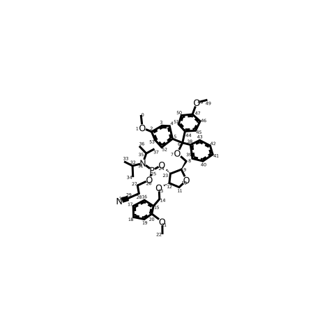 COc1ccc(C(OC[C@H]2OC[C@H](OCc3ccccc3OC)[C@@H]2OP(OCCC#N)N(C(C)C)C(C)C)(c2ccccc2)c2ccc(OC)cc2)cc1